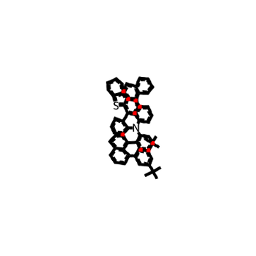 CC(C)(C)c1cc(-c2cccc3cccc(-c4ccccc4N(c4cccc(-c5cccc6ccccc56)c4)c4ccccc4-c4cccc5c4sc4ccccc45)c23)cc(C(C)(C)C)c1